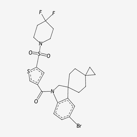 O=C(c1csc(S(=O)(=O)N2CCC(F)(F)CC2)c1)N1CC2(CCC3(CC3)CC2)c2cc(Br)ccc21